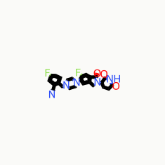 N#Cc1cc(F)ccc1CN1CCN(c2cc3c(cc2F)C(=O)N(C2CCC(=O)NC2=O)C3)CC1